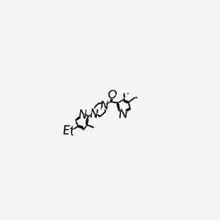 [CH2]c1c(C)cncc1C(=O)N1CCN(c2ncc(CC)cc2C)CC1